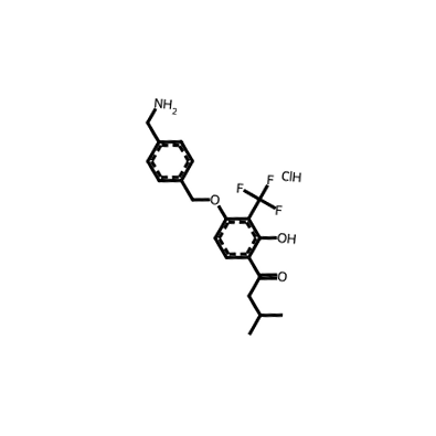 CC(C)CC(=O)c1ccc(OCc2ccc(CN)cc2)c(C(F)(F)F)c1O.Cl